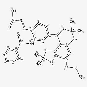 CCOc1cc2c(c3c1OC(C)(C)C3)C(c1ccc(C=CC(=O)O)c(NC(=O)c3ccccn3)c1)=NC(C)(C)C2